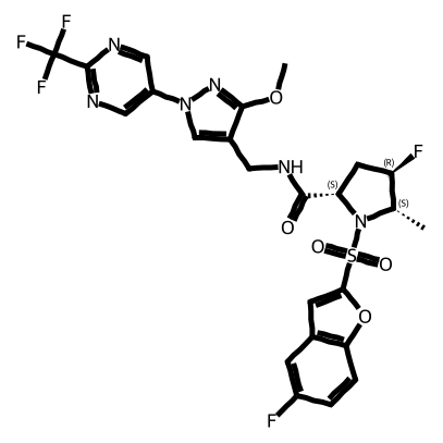 COc1nn(-c2cnc(C(F)(F)F)nc2)cc1CNC(=O)[C@@H]1C[C@@H](F)[C@H](C)N1S(=O)(=O)c1cc2cc(F)ccc2o1